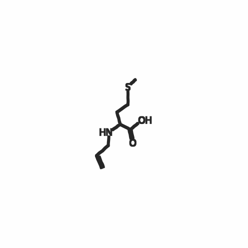 C=CCNC(CCSC)C(=O)O